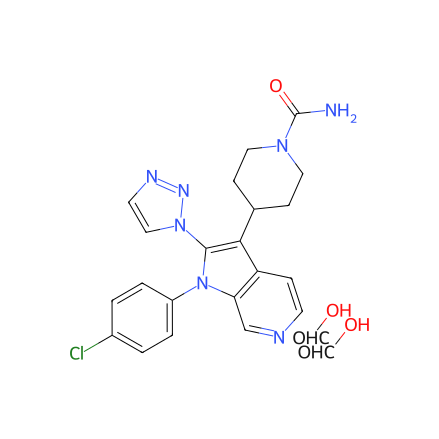 NC(=O)N1CCC(c2c(-n3ccnn3)n(-c3ccc(Cl)cc3)c3cnccc23)CC1.O=CO.O=CO